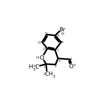 CC1(C)CC(C=O)c2cc(Br)ccc2O1